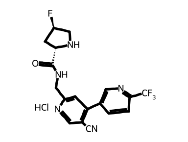 Cl.N#Cc1cnc(CNC(=O)[C@@H]2C[C@@H](F)CN2)cc1-c1ccc(C(F)(F)F)nc1